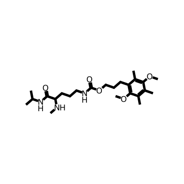 CNC(CCCNC(=O)OCCCc1c(C)c(OC)c(C)c(C)c1OC)C(=O)NC(C)C